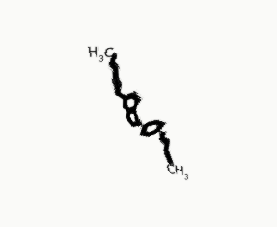 CCCCCCCC1CCc2cc([C@H]3CC[C@H](CCCCCC)CC3)ccc2C1